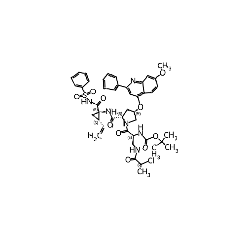 C=C[C@@H]1C[C@]1(NC(=O)[C@@H]1C[C@@H](Oc2cc(-c3ccccc3)nc3cc(OC)ccc23)CN1C(=O)[C@H](CNC(=O)[C@@H](C)Cl)NC(=O)OC(C)(C)C)C(=O)NS(=O)(=O)c1ccccc1